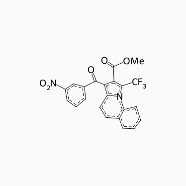 COC(=O)c1c(C(=O)c2cccc([N+](=O)[O-])c2)c2ccc3ccccc3n2c1C(F)(F)F